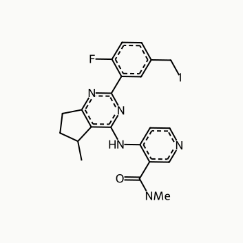 CNC(=O)c1cnccc1Nc1nc(-c2cc(CI)ccc2F)nc2c1C(C)CC2